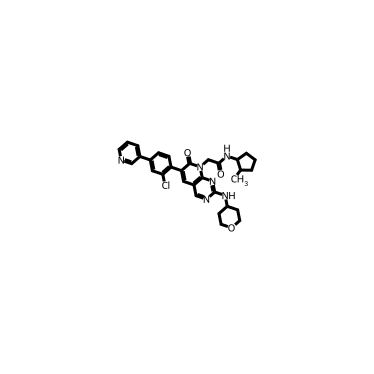 CC1CCCC1NC(=O)Cn1c(=O)c(-c2ccc(-c3cccnc3)cc2Cl)cc2cnc(NC3CCOCC3)nc21